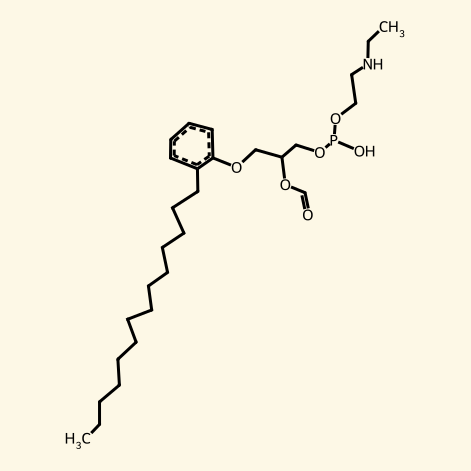 CCCCCCCCCCCCCCc1ccccc1OCC(COP(O)OCCNCC)OC=O